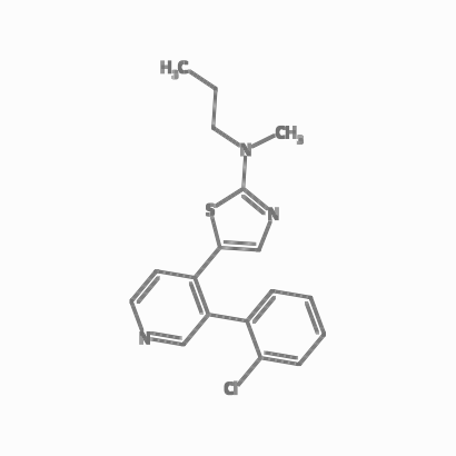 CCCN(C)c1ncc(-c2ccncc2-c2ccccc2Cl)s1